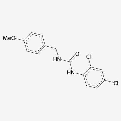 COc1ccc(CNC(=O)Nc2ccc(Cl)cc2Cl)cc1